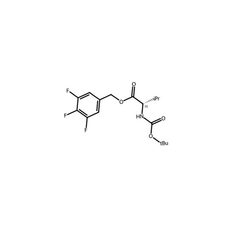 CC(C)[C@H](NC(=O)OC(C)(C)C)C(=O)OCc1cc(F)c(F)c(F)c1